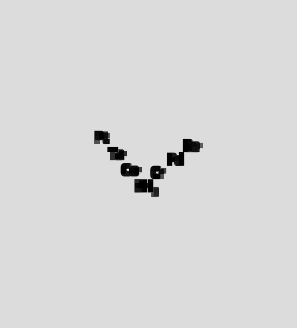 B.[Co].[Cr].[Pd].[Pt].[Re].[Ta]